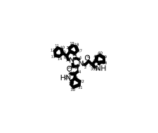 O=C(CN1CCN(CC(c2ccccc2)c2ccccc2)C(=O)[C@@H]1Cc1c[nH]c2ccccc12)c1c[nH]c2ccccc12